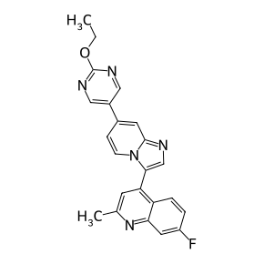 CCOc1ncc(-c2ccn3c(-c4cc(C)nc5cc(F)ccc45)cnc3c2)cn1